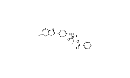 Cc1ccc2nc(-c3ccc(NS(=O)(=O)C(C)OC(=O)c4ccccc4)cc3)sc2c1